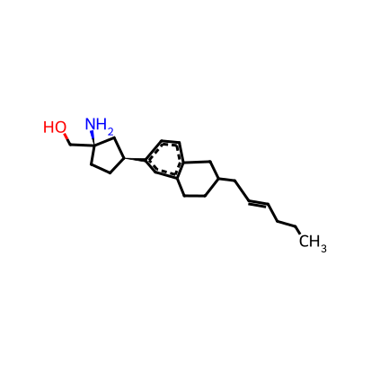 CCC/C=C/CC1CCc2cc([C@H]3CC[C@](N)(CO)C3)ccc2C1